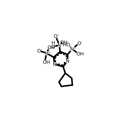 [O-][N+](O)(O)c1nc(C2CCCC2)nc([N+]([O-])(O)O)c1[N+]([O-])(O)O